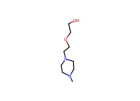 CN1CCN(CCOCCO)CC1